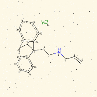 C=CCNCCC12CC(c3ccccc31)c1ccccc12.Cl